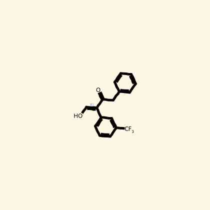 O=C(Cc1ccccc1)/C(=C/O)c1cccc(C(F)(F)F)c1